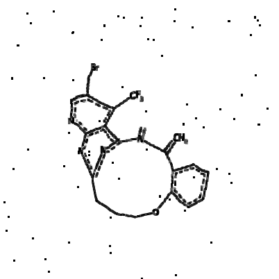 C=C1Nc2nc(nc3ncc(Br)c(C(F)(F)F)c23)CCCOc2ccccc21